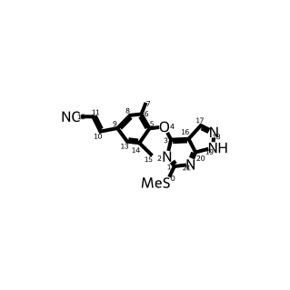 CSc1nc(Oc2c(C)cc(/C=C/C#N)cc2C)c2cn[nH]c2n1